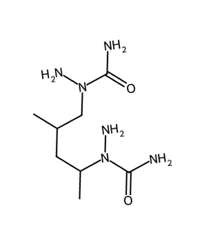 CC(CC(C)N(N)C(N)=O)CN(N)C(N)=O